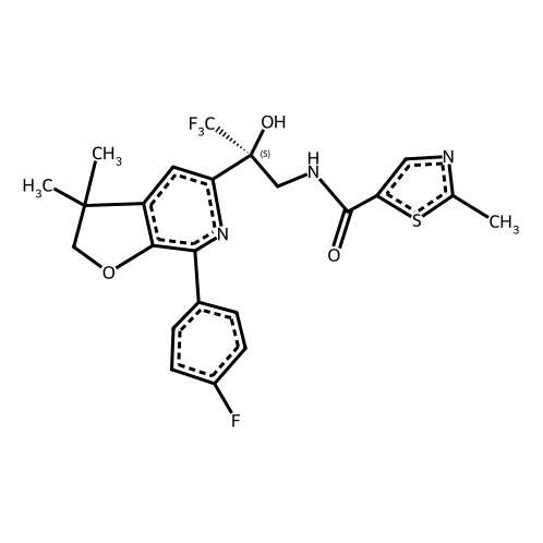 Cc1ncc(C(=O)NC[C@](O)(c2cc3c(c(-c4ccc(F)cc4)n2)OCC3(C)C)C(F)(F)F)s1